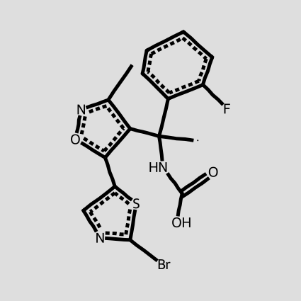 [CH2]C(NC(=O)O)(c1ccccc1F)c1c(C)noc1-c1cnc(Br)s1